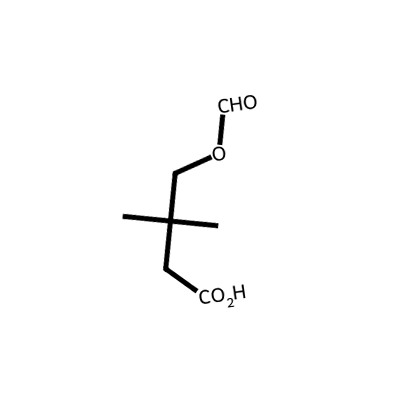 CC(C)(COC=O)CC(=O)O